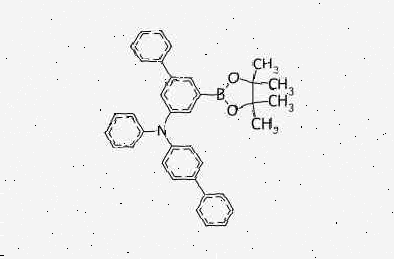 CC1(C)OB(c2cc(-c3ccccc3)cc(N(c3ccccc3)c3ccc(-c4ccccc4)cc3)c2)OC1(C)C